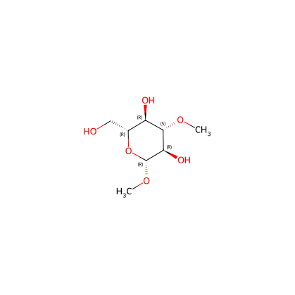 CO[C@@H]1O[C@H](CO)[C@@H](O)[C@H](OC)[C@H]1O